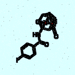 O=C(NN1C(=O)[C@]23C4C=CC(CCC4)[C@@H]2[N+]13[O-])c1ccc(I)cc1